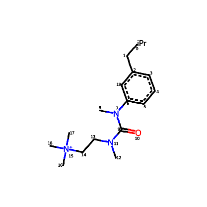 CC(C)Cc1cccc(N(C)C(=O)N(C)CC[N+](C)(C)C)c1